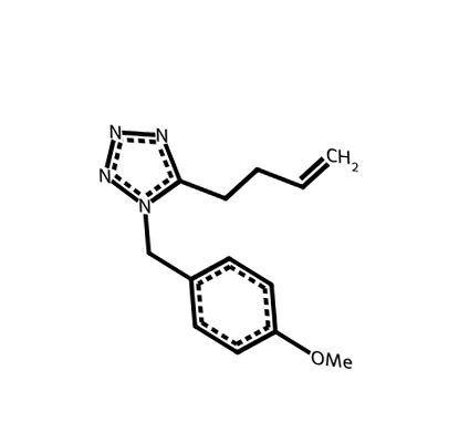 C=CCCc1nnnn1Cc1ccc(OC)cc1